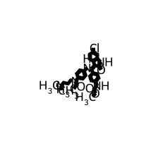 COC(=O)Nc1ccc(C(Nc2ccc(N(CCCN(C)C)C(C)=O)cc2)=C2C(=O)Nc3cc(Cl)ccc32)cc1